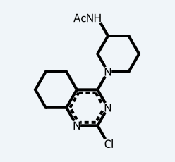 CC(=O)NC1CCCN(c2nc(Cl)nc3c2CCCC3)C1